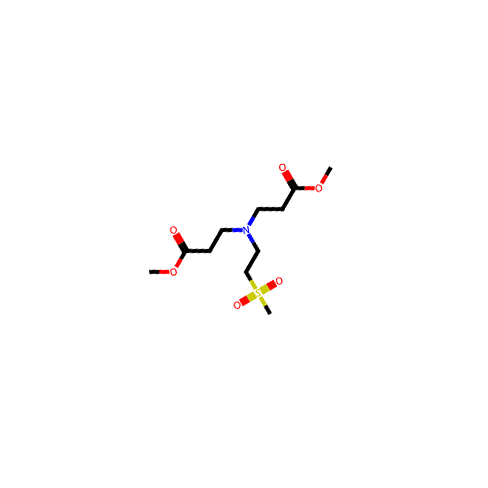 COC(=O)CCN(CCC(=O)OC)CCS(C)(=O)=O